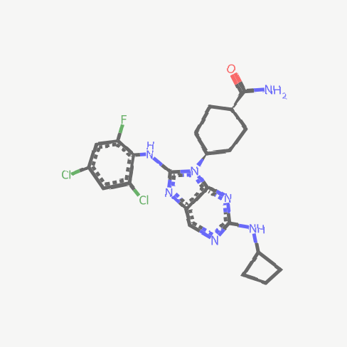 NC(=O)[C@H]1CC[C@@H](n2c(Nc3c(F)cc(Cl)cc3Cl)nc3cnc(NC4CCC4)nc32)CC1